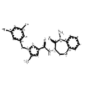 Cc1cc(C(=O)N[C@H]2COc3ccccc3N(C)C2=O)nn1Cc1cc(F)cc(F)c1